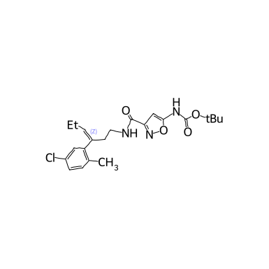 CC/C=C(/CCNC(=O)c1cc(NC(=O)OC(C)(C)C)on1)c1cc(Cl)ccc1C